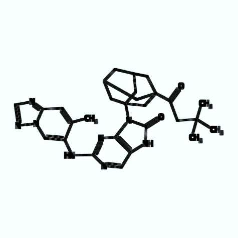 Cc1cc2ncnn2cc1Nc1ncc2[nH]c(=O)n(C34CC5CC(CC(C(=O)CC(C)(C)C)(C5)C3)C4)c2n1